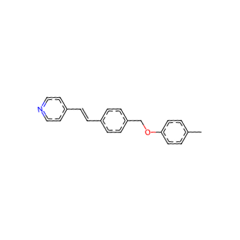 Cc1ccc(OCc2ccc(/C=C/c3ccncc3)cc2)cc1